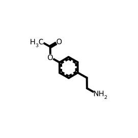 CC(=O)Oc1ccc(CCN)cc1